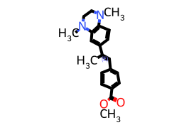 COC(=O)c1ccc(/C=C(\C)c2ccc3c(c2)N(C)CCN3C)cc1